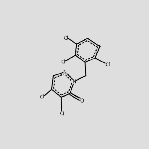 O=c1c(Cl)c(Cl)cnn1Cc1c(Cl)ccc(Cl)c1Cl